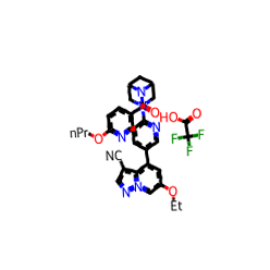 CCCOc1ccc(C(=O)N2C3CC2CN(c2ccc(-c4cc(OCC)cn5ncc(C#N)c45)cn2)C3)cn1.O=C(O)C(F)(F)F